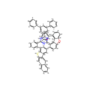 c1ccc(-c2cc(-c3ccccc3)cc(-c3nc(-c4ccccc4-c4cccc5c4sc4cc6ccccc6cc45)nc(-c4cccc5oc6cccc(-c7ccccc7)c6c45)n3)c2)cc1